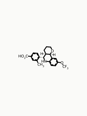 Cc1cc(C(=O)O)ccc1[C@H]1Nc2ccc(OC(F)(F)F)cc2[C@@H]2OCCC[C@H]12